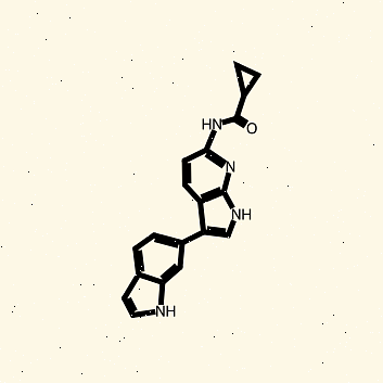 O=C(Nc1ccc2c(-c3ccc4cc[nH]c4c3)c[nH]c2n1)C1CC1